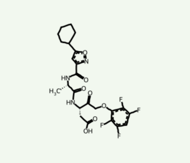 C[C@H](NC(=O)c1cc(C2CCCCC2)on1)C(=O)N[C@@H](CC(=O)O)C(=O)COc1c(F)c(F)cc(F)c1F